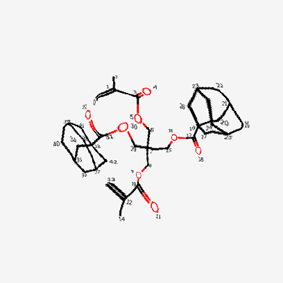 C=C(C)C(=O)OCC(COC(=O)C(=C)C)(COC(=O)C12CC3CC(CC(C3)C1)C2)COC(=O)C12CC3CC(CC(C3)C1)C2